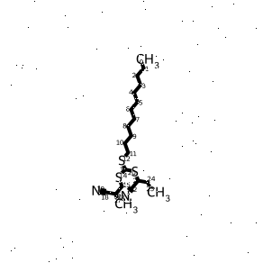 CCCCCCCCCCCCSC(SCC(C)C#N)SC(C#N)CC